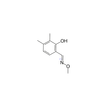 CO/N=C/c1ccc(C)c(C)c1O